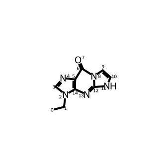 CCn1cnc2c(=O)n3cc[nH]c3nc21